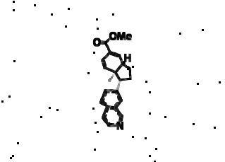 COC(=O)C1=C[C@@H]2CC[C@H](c3ccc4ccncc4c3)[C@@]2(C)C=C1